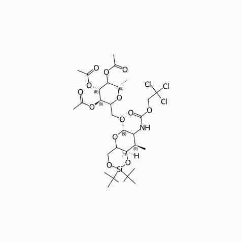 CC(=O)OC1[C@H](C)OC(CO[C@H]2OC3CO[Si](C(C)(C)C)(C(C)(C)C)O[C@@H]3[C@H](C)C2NC(=O)OCC(Cl)(Cl)Cl)[C@@H](OC(C)=O)[C@@H]1OC(C)=O